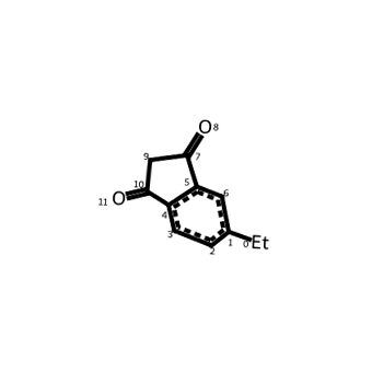 CCc1ccc2c(c1)C(=O)CC2=O